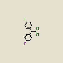 Fc1ccc(C(=C(Cl)Cl)c2ccc(I)cc2)cc1